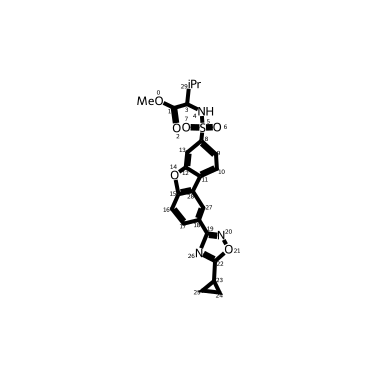 COC(=O)C(NS(=O)(=O)c1ccc2c(c1)oc1ccc(-c3noc(C4CC4)n3)cc12)C(C)C